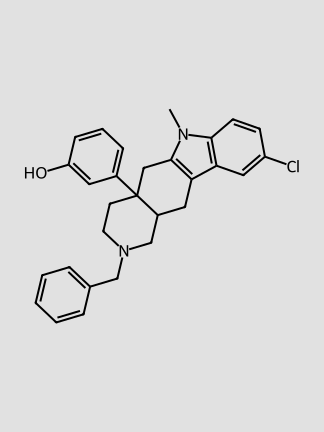 Cn1c2c(c3cc(Cl)ccc31)CC1CN(Cc3ccccc3)CCC1(c1cccc(O)c1)C2